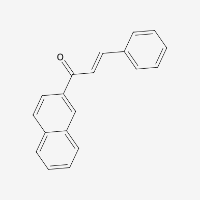 O=C(C=Cc1ccccc1)c1ccc2ccccc2c1